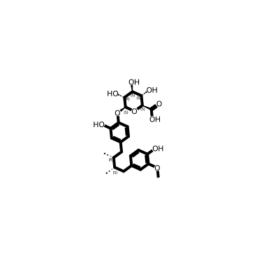 COc1cc(C[C@H](C)[C@H](C)Cc2ccc(O[C@@H]3O[C@H](C(=O)O)[C@@H](O)[C@H](O)[C@H]3O)c(O)c2)ccc1O